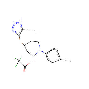 N#Cc1ccc(N2CCC(Sc3nn[nH]c3C(=O)O)CC2)cc1.O=C(O)C(F)(F)F